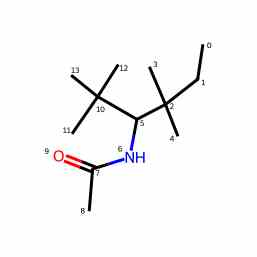 CCC(C)(C)C(NC(C)=O)C(C)(C)C